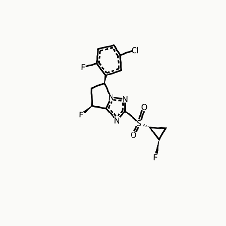 O=S(=O)(c1nc2n(n1)[C@H](c1cc(Cl)ccc1F)C[C@@H]2F)[C@@H]1C[C@H]1F